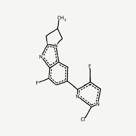 CC1Cc2nc3c(F)cc(-c4nc(Cl)ncc4F)cc3n2C1